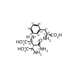 NC(=O)C[C@H](N)C(=O)O.NCC(=O)O.N[C@@H](Cc1ccccc1)C(=O)O